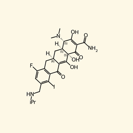 CC(C)NCc1cc(F)c2c(c1I)C(=O)C1=C(O)[C@]3(O)C(=O)C(C(N)=O)=C(O)[C@@H](N(C)C)[C@@H]3C[C@@H]1C2